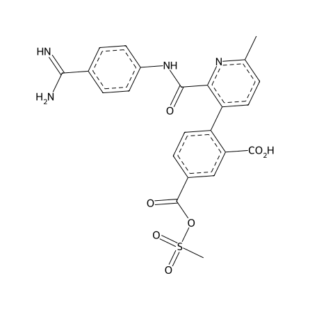 Cc1ccc(-c2ccc(C(=O)OS(C)(=O)=O)cc2C(=O)O)c(C(=O)Nc2ccc(C(=N)N)cc2)n1